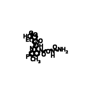 CCC1(O)C(=O)OCc2c1cc1n(c2=O)Cc2c-1nc1cc(F)c(C)c3c1c2[C@@H](NC(=O)COCNC(=O)CN)CC3